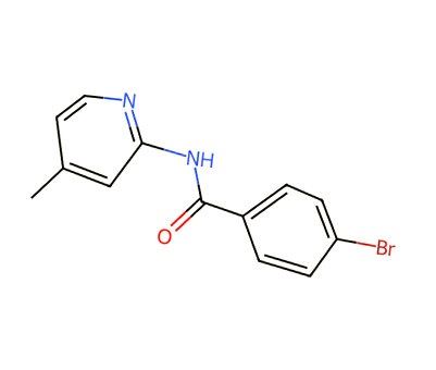 Cc1ccnc(NC(=O)c2ccc(Br)cc2)c1